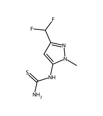 Cn1nc(C(F)F)cc1NC(N)=S